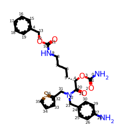 NC(=O)O[C@@H](CCCCNC(=O)OCc1ccccc1)C(=O)N(Cc1ccc(N)cc1)Cc1cccs1